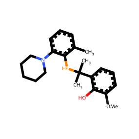 COc1cccc(C(C)(C)Pc2c(C)cccc2N2CCCCC2)c1O